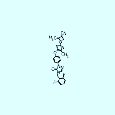 Cc1nc(N2C[C@@H](C#N)[C@@H]2C)sc1Oc1ccc(-n2ncn(Cc3c(F)cccc3F)c2=O)cc1